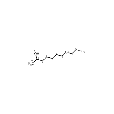 OC(CCCCCOCCF)C(F)(F)F